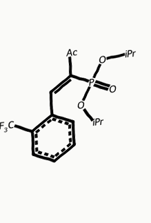 CC(=O)C(=Cc1ccccc1C(F)(F)F)P(=O)(OC(C)C)OC(C)C